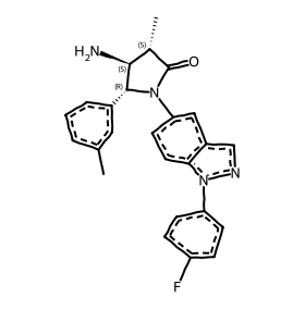 Cc1cccc([C@@H]2[C@@H](N)[C@H](C)C(=O)N2c2ccc3c(cnn3-c3ccc(F)cc3)c2)c1